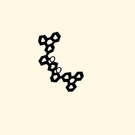 C1=CC2c3cc4c(cc3OC2C(c2ccc3c5ccccc5c5ccccc5c3c2)=C1)oc1c(-c2ccc3c5ccccc5c5ccccc5c3c2)cccc14